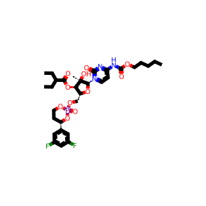 CCCCCOC(=O)Nc1ccn([C@@H]2O[C@H](COP3(=O)OCC[C@@H](c4cc(F)cc(F)c4)O3)[C@@H](OC(=O)C(CC)CC)[C@@]2(C)O)c(=O)n1